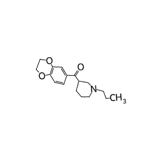 CCCN1CCCC(C(=O)c2ccc3c(c2)OCCO3)C1